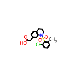 Cc1cccc(Cl)c1S(=O)(=O)N1CCCc2ccc(CC(=O)O)cc21